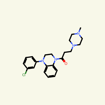 CN1CCN(CCC(=O)N2CCN(c3cccc(Cl)c3)c3ccccc32)CC1